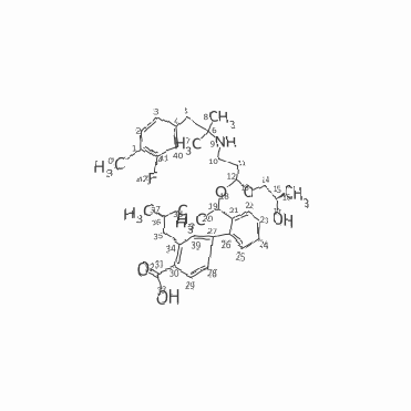 Cc1ccc(CC(C)(C)NCCC(OC[C@@H](C)O)OC(C)c2ccccc2-c2ccc(C(=O)O)c(CC(C)C)c2)cc1F